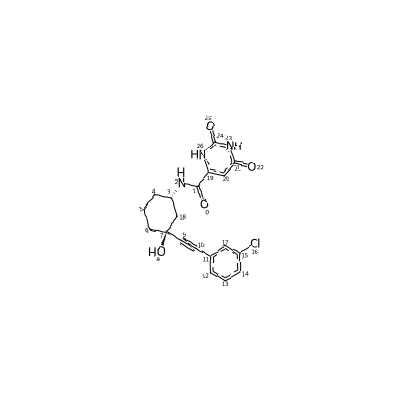 O=C(N[C@H]1CCC[C@@](O)(C#Cc2cccc(Cl)c2)C1)c1cc(=O)[nH]c(=O)[nH]1